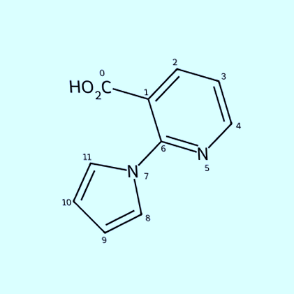 O=C(O)c1cccnc1-n1cccc1